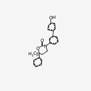 C[C@]1(c2ccccc2)CCN(c2cccc(-c3ccc(O)cc3)c2)C(=O)O1